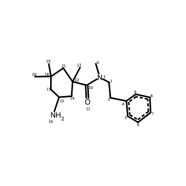 CN(CCc1ccccc1)C(=O)C1(C)CC(N)CC(C)(C)C1